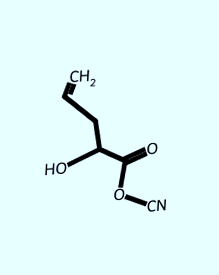 C=CCC(O)C(=O)OC#N